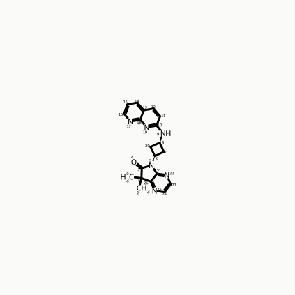 CC1(C)C(=O)N([C@H]2C[C@H](Nc3ccc4cccnc4n3)C2)c2nccnc21